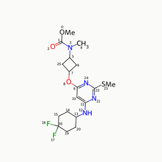 COC(=O)N(C)C1CC(Oc2cc(NC3CCC(F)(F)CC3)nc(SC)n2)C1